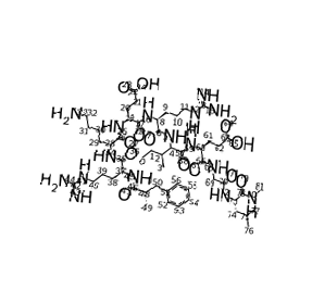 CC[C@H](C)C(NC(=O)[C@H](CCCNC(=N)N)NC(=O)[C@H](CCC(=O)O)NC(=O)[C@H](CCCCN)NC(=O)[C@H](CCCNC(=N)N)NC(=O)[C@@H](C)Cc1ccccc1)C(=O)N[C@@H](CCC(=O)O)C(=O)NCC(=O)N[C@@H](CC(C)C)C(=O)NC